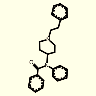 O=C(c1ccccc1)N(c1ccccc1)C1CCN(CCc2ccccc2)CC1